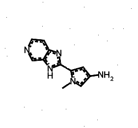 Cn1cc(N)cc1-c1nc2ccncc2[nH]1